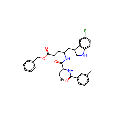 Cc1cccc(C(=O)NC(CC(C)C)C(=O)N[C@@H](CCC(=O)OCc2ccccc2)CC2CNc3ccc(F)cc32)c1